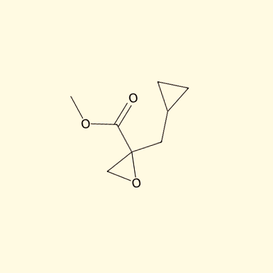 COC(=O)C1(CC2CC2)CO1